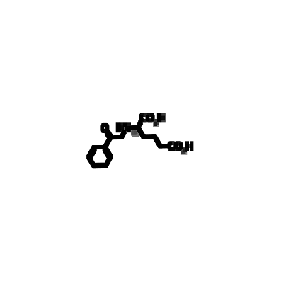 O=C(O)CCC[C@@H](NCC(=O)c1ccccc1)C(=O)O